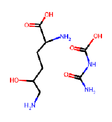 NC(=O)NC(=O)O.NCC(O)CCC(N)C(=O)O